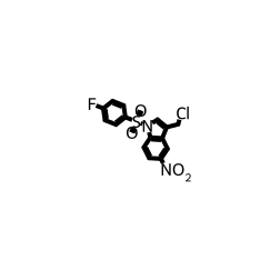 O=[N+]([O-])c1ccc2c(c1)c(CCl)cn2S(=O)(=O)c1ccc(F)cc1